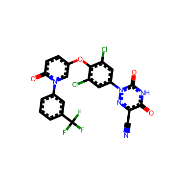 N#Cc1nn(-c2cc(Cl)c(Oc3ccc(=O)n(-c4cccc(C(F)(F)F)c4)c3)c(Cl)c2)c(=O)[nH]c1=O